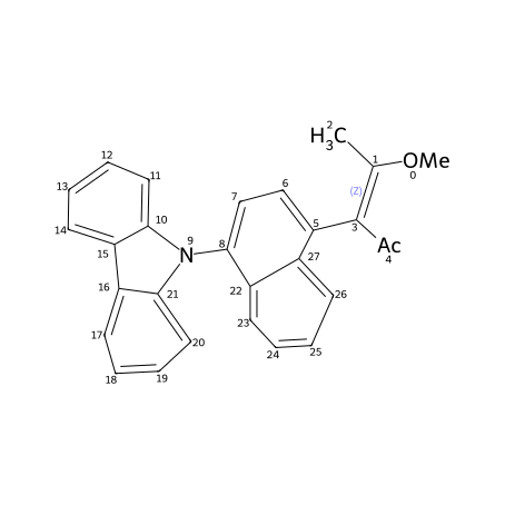 CO/C(C)=C(\C(C)=O)c1ccc(-n2c3ccccc3c3ccccc32)c2ccccc12